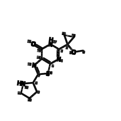 COC1(c2nc3sc(C4CCCN4)nc3c(=O)[nH]2)CC1